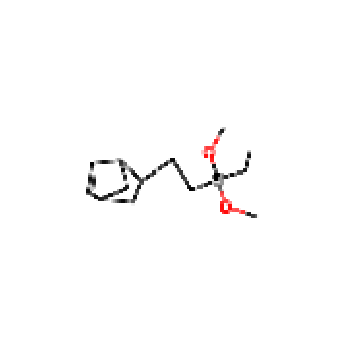 CC[Si](CCC1CC2C=CC1C2)(OC)OC